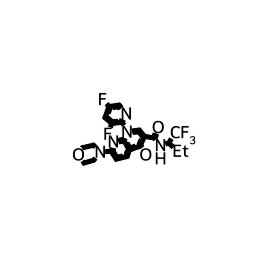 CCC(NC(=O)c1cn(-c2ncc(F)cc2F)c2nc(N3CCOCC3)ccc2c1=O)C(F)(F)F